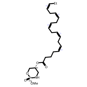 CC/C=C\C/C=C\C/C=C\C/C=C\C/C=C\CCCC(=O)O[C@@H]1CN[P@](=O)(OC)OC1